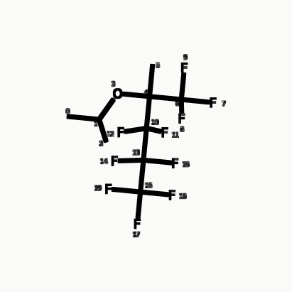 CC(C)OC(C)(C(F)(F)F)C(F)(F)C(F)(F)C(F)(F)F